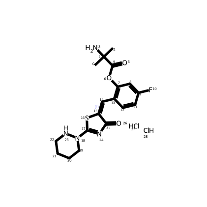 CC(C)(N)C(=O)Oc1cc(F)ccc1/C=C1/SC(N2CCCCN2)=NC1=O.Cl.Cl